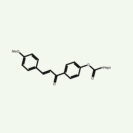 CCCCCCCC(=O)Oc1ccc(C(=O)C=Cc2ccc(OC)cc2)cc1